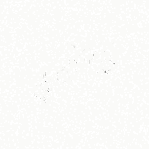 C#Cc1cnc(-c2c(OC)ncnc2C2CC2)nc1NCc1ccc(-c2nc(C(F)(F)F)cn2C)cc1